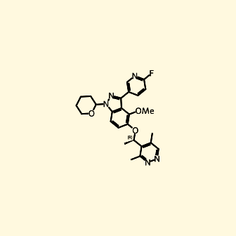 COc1c(O[C@H](C)c2c(C)cnnc2C)ccc2c1c(-c1ccc(F)nc1)nn2C1CCCCO1